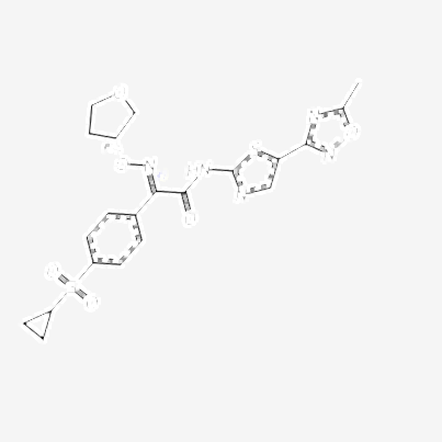 Cc1nc(-c2cnc(NC(=O)/C(=N/O[C@@H]3CCOC3)c3ccc(S(=O)(=O)C4CC4)cc3)s2)no1